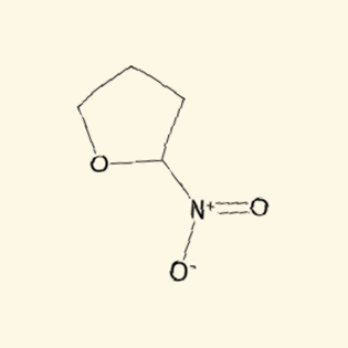 O=[N+]([O-])C1CCCO1